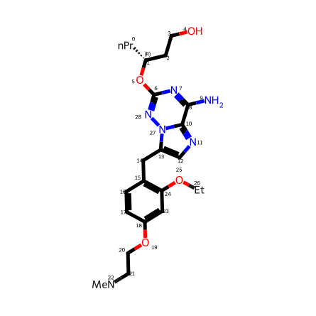 CCC[C@H](CCO)Oc1nc(N)c2ncc(Cc3ccc(OCCNC)cc3OCC)n2n1